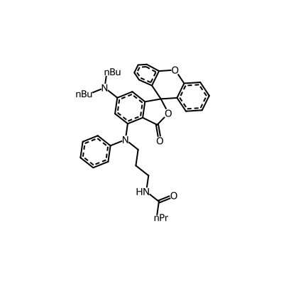 CCCCN(CCCC)c1cc(N(CCCNC(=O)CCC)c2ccccc2)c2c(c1)C1(OC2=O)c2ccccc2Oc2ccccc21